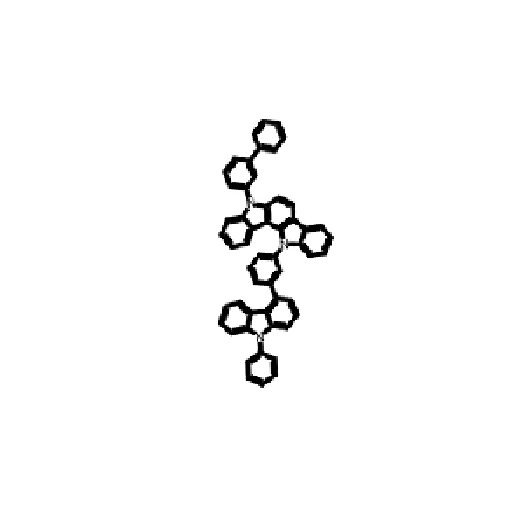 c1ccc(-c2cccc(-n3c4ccccc4c4c3ccc3c5ccccc5n(-c5cccc(-c6cccc7c6c6ccccc6n7-c6ccccc6)c5)c34)c2)cc1